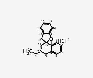 CCN1Cc2ccccc2C2(Cc3ccccc3O2)C1.Cl